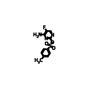 Cc1ccc(S(=O)(=O)Oc2ncc(F)c(N)n2)cc1